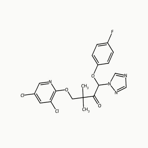 CC(C)(COc1ncc(Cl)cc1Cl)C(=O)C(Oc1ccc(F)cc1)n1cncn1